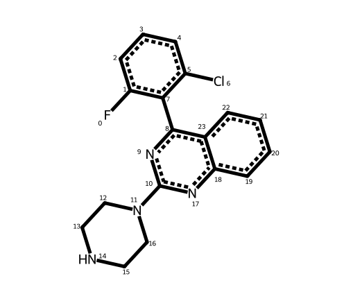 Fc1cccc(Cl)c1-c1nc(N2CCNCC2)nc2ccccc12